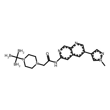 BC(B)(B)N1CCN(CC(=O)Nc2cc3cc(-c4cnn(C)c4)cnc3cn2)CC1